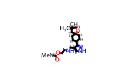 CNC(=O)OCCNCc1c[nH]nc1C1CCC2(CC1)CC(C)(C)CO2